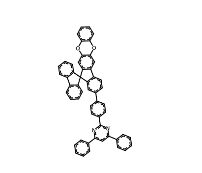 c1ccc(-c2cc(-c3ccccc3)nc(-c3ccc(-c4ccc5c(c4)C4(c6ccccc6-c6ccccc64)c4cc6c(cc4-5)Oc4ccccc4O6)cc3)n2)cc1